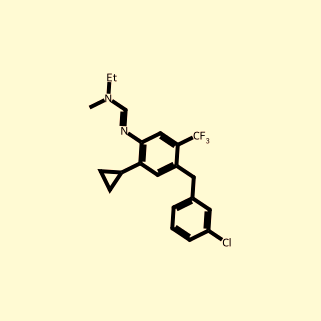 CCN(C)C=Nc1cc(C(F)(F)F)c(Cc2cccc(Cl)c2)cc1C1CC1